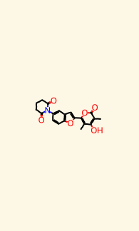 Cc1c(-c2cc3cc(N4C(=O)CCCC4=O)ccc3o2)oc(=O)c(C)c1O